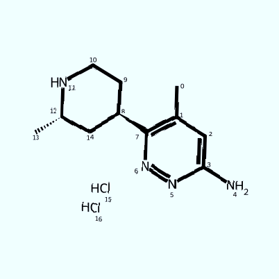 Cc1cc(N)nnc1[C@@H]1CCN[C@@H](C)C1.Cl.Cl